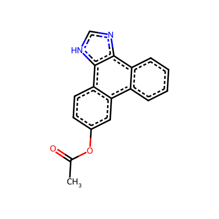 CC(=O)Oc1ccc2c(c1)c1ccccc1c1nc[nH]c21